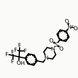 O=[N+]([O-])c1ccc(S(=O)(=O)N2CCN(Cc3ccc(C(O)(C(F)(F)F)C(F)(F)F)cc3)CC2)cc1